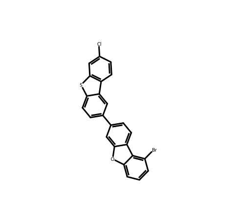 Clc1ccc2c(c1)sc1ccc(-c3ccc4c(c3)oc3cccc(Br)c34)cc12